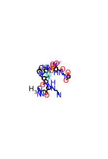 C[C@H]1CCC[N+](Cc2ccc(NS(=O)(=O)c3ccc(C(=O)NCCN4C(=O)C=CC4=O)cc3[N+](=O)[O-])cc2)(Cc2cc3c(c(C(F)(F)F)c2)CN(c2cc(C4(Cc5nncn5C)COC4)cc(NCCC#N)n2)C3=O)C1